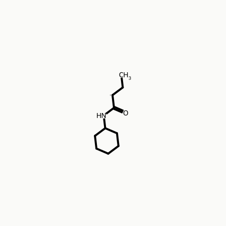 CC[CH]C(=O)NC1CCCCC1